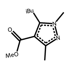 CCC(C)c1c(C(=O)OC)c(C)nn1C